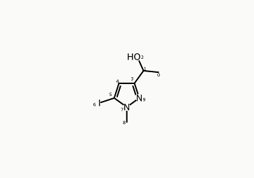 CC(O)c1cc(I)n(C)n1